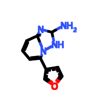 NC1N=C2C=CC=C(c3ccoc3)N2N1